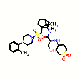 Cc1ccccc1N1CCN(S(=O)(=O)CC23CCC(CC2NC(=O)[C@H](CO)NC2CCS(=O)(=O)CC2)C3(C)C)CC1